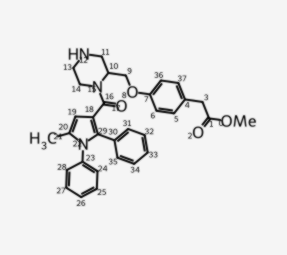 COC(=O)Cc1ccc(OCC2CNCCN2C(=O)c2cc(C)n(-c3ccccc3)c2-c2ccccc2)cc1